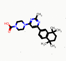 Cc1nc(-c2ccc3c(c2)C(C)(C)CCC3(C)C)cc(N2CCN(C(=O)O)CC2)n1